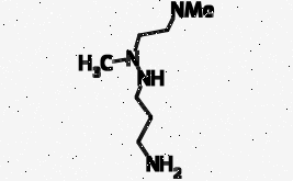 CNCCN(C)NCCCN